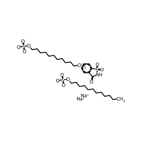 CCCCCCCCCCCCOS(=O)(=O)[O-].CCCCCCCCCCCCOS(=O)(=O)[O-].O=C1NS(=O)(=O)c2ccccc21.[Na+].[Na+]